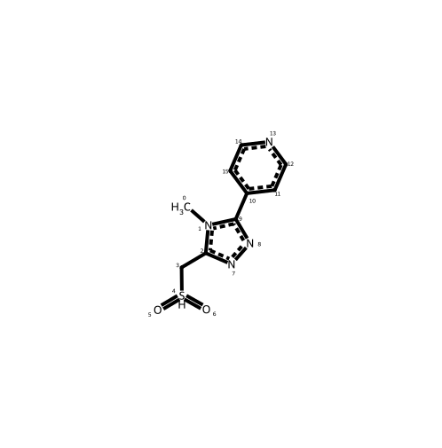 Cn1c(C[SH](=O)=O)nnc1-c1ccncc1